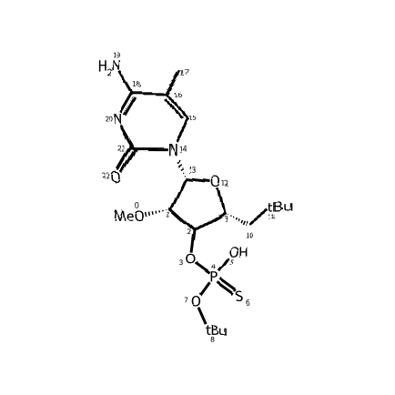 CO[C@H]1C(OP(O)(=S)OC(C)(C)C)[C@@H](CC(C)(C)C)O[C@H]1n1cc(C)c(N)nc1=O